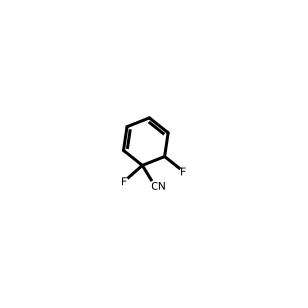 N#CC1(F)C=CC=CC1F